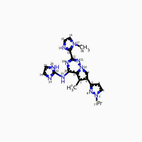 Cc1c(-c2ccn(C(C)C)n2)cn2nc(-c3nccn3C)nc(Nc3ncc[nH]3)c12